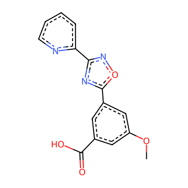 COc1cc(C(=O)O)cc(-c2nc(-c3ccccn3)no2)c1